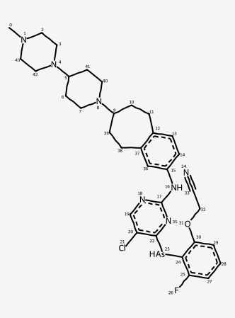 CN1CCN(C2CCN(C3CCc4ccc(Nc5ncc(Cl)c([AsH]c6c(F)cccc6OCC#N)n5)cc4CC3)CC2)CC1